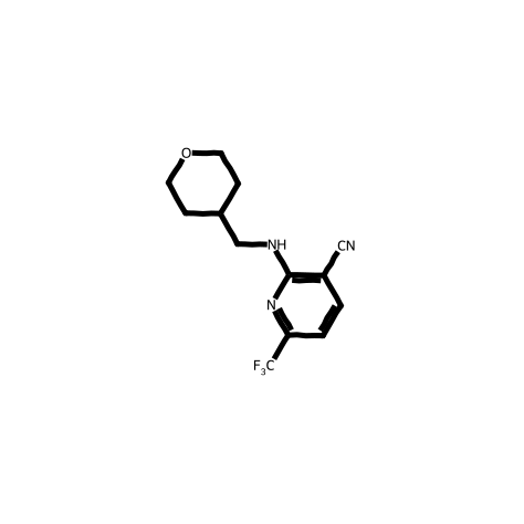 N#Cc1ccc(C(F)(F)F)nc1NCC1CCOCC1